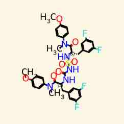 COc1ccc(N(C)C(=O)[C@H](Cc2cc(F)cc(F)c2)NC(=O)NS(=O)(=O)N[C@@H](Cc2cc(F)cc(F)c2)C(=O)N(C)c2ccc(OC)cc2)cc1